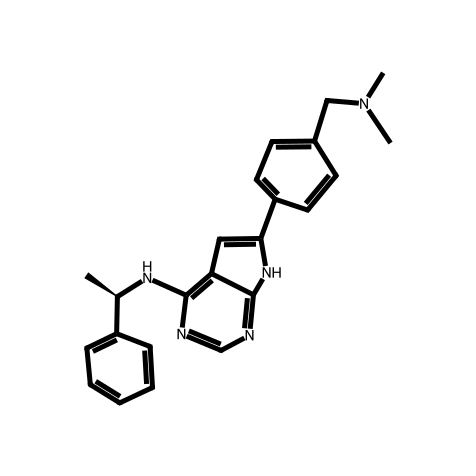 C[C@@H](Nc1ncnc2[nH]c(-c3ccc(CN(C)C)cc3)cc12)c1ccccc1